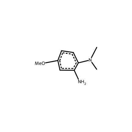 COc1ccc(N(C)C)c(N)c1